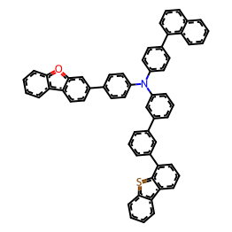 c1cc(-c2cccc(N(c3ccc(-c4ccc5c(c4)oc4ccccc45)cc3)c3ccc(-c4cccc5ccccc45)cc3)c2)cc(-c2cccc3c2sc2ccccc23)c1